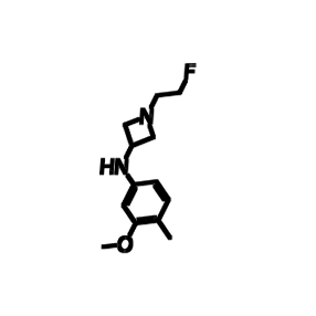 COc1cc(NC2CN(CCF)C2)ccc1C